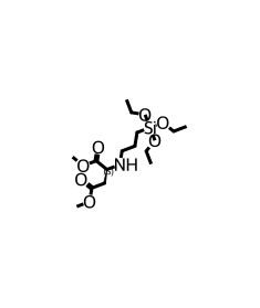 CCO[Si](CCCN[C@@H](CC(=O)OC)C(=O)OC)(OCC)OCC